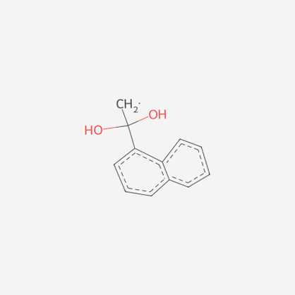 [CH2]C(O)(O)c1cccc2ccccc12